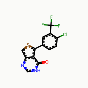 O=c1[nH]cnc2csc(-c3ccc(Cl)c(C(F)(F)F)c3)c12